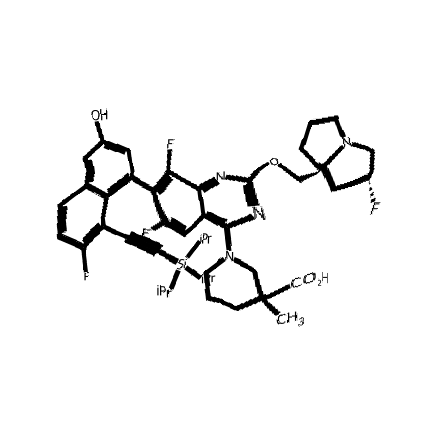 CC(C)[Si](C#Cc1c(F)ccc2cc(O)cc(-c3c(F)cc4c(N5CCCC(C)(C(=O)O)C5)nc(OC[C@@]56CCCN5C[C@H](F)C6)nc4c3F)c12)(C(C)C)C(C)C